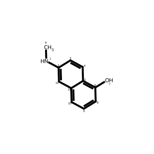 CNc1ccc2c(O)cccc2c1